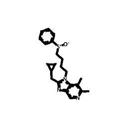 Cc1ncc2nc(CC3CC3)n(CCCC[S+]([O-])c3ccccc3)c2c1C